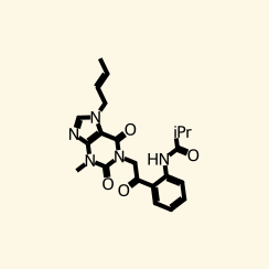 CC=CCn1cnc2c1c(=O)n(CC(=O)c1ccccc1NC(=O)C(C)C)c(=O)n2C